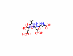 CC(C)[C@H](NC(=O)[C@H](CCC(=O)O)NC(=O)[C@@H](N)CCC(=O)O)C(=O)N[C@@H](CCC(=O)O)C(=O)O